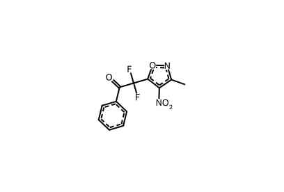 Cc1noc(C(F)(F)C(=O)c2ccccc2)c1[N+](=O)[O-]